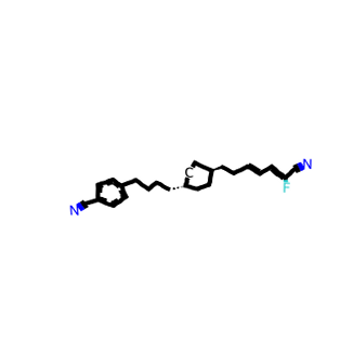 N#C/C(F)=C/C=C/CC[C@H]1CC[C@H](CCCCc2ccc(C#N)cc2)CC1